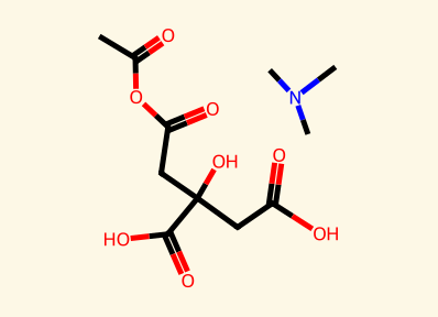 CC(=O)OC(=O)CC(O)(CC(=O)O)C(=O)O.CN(C)C